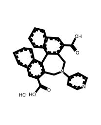 Cl.O=C(O)c1cc2ccccc2c2c1CN(c1ccncc1)Cc1c(C(=O)O)cc3ccccc3c1-2